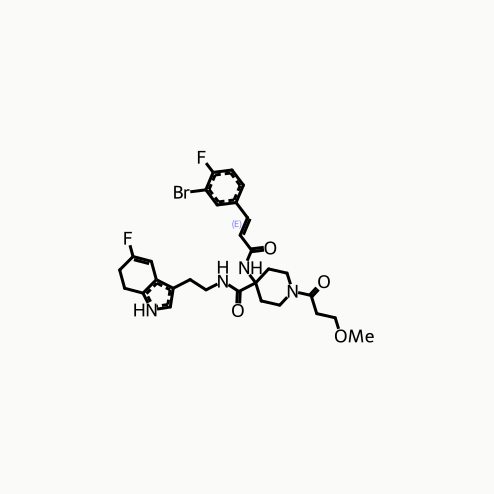 COCCC(=O)N1CCC(NC(=O)/C=C/c2ccc(F)c(Br)c2)(C(=O)NCCc2c[nH]c3c2C=C(F)CC3)CC1